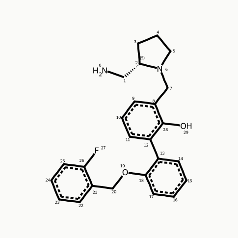 NC[C@@H]1CCCN1Cc1cccc(-c2ccccc2OCc2ccccc2F)c1O